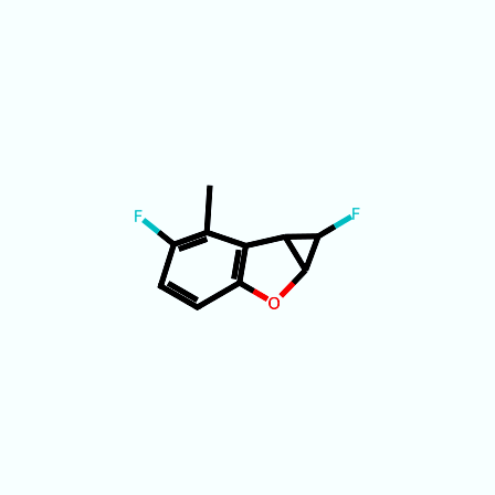 Cc1c(F)ccc2c1C1C(F)C1O2